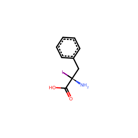 N[C@@](I)(Cc1ccccc1)C(=O)O